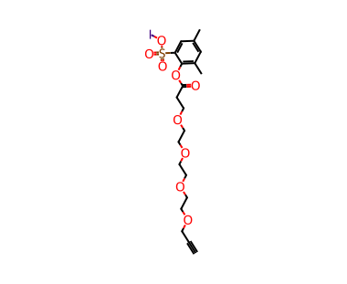 C#CCOCCOCCOCCOCCC(=O)Oc1c(C)cc(C)cc1S(=O)(=O)OI